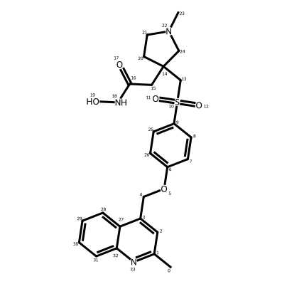 Cc1cc(COc2ccc(S(=O)(=O)CC3(CC(=O)NO)CCN(C)C3)cc2)c2ccccc2n1